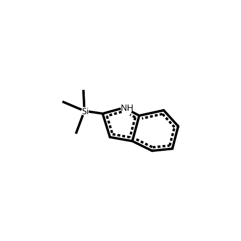 C[Si](C)(C)c1cc2ccccc2[nH]1